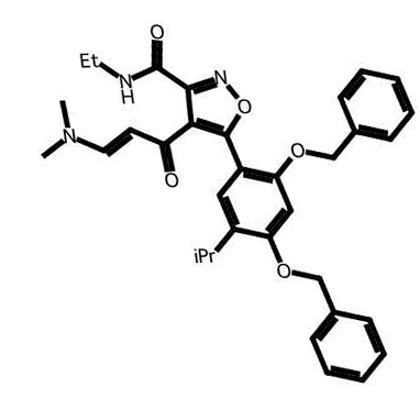 CCNC(=O)c1noc(-c2cc(C(C)C)c(OCc3ccccc3)cc2OCc2ccccc2)c1C(=O)C=CN(C)C